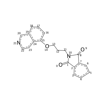 O=C1c2ccccc2C(=O)N1CCCOc1cccc2cnccc12